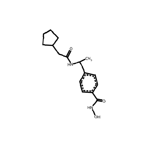 CC(NC(=O)CC1CCCC1)c1ccc(C(=O)NO)cc1